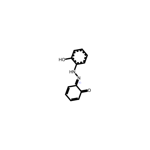 O=C1C=CC=C/C1=N\Nc1ccccc1O